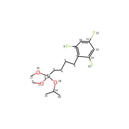 CO[Si](CCCCc1c(F)cc(F)cc1F)(OC)OC(C)C